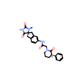 CN1C(=O)NC(=O)[C@]12Cc1ccc(NC(=O)CN3CCC[C@H](c4ccccc4)C3=O)cc1C2